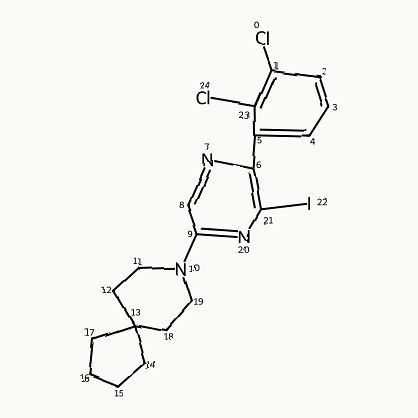 Clc1cccc(-c2ncc(N3CCC4(CCCC4)CC3)nc2I)c1Cl